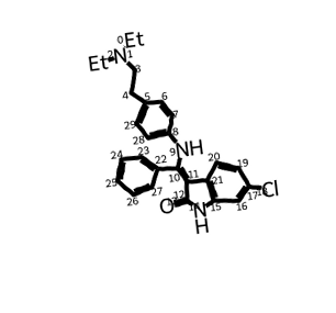 CCN(CC)CCc1ccc(NC(=C2C(=O)Nc3cc(Cl)ccc32)c2ccccc2)cc1